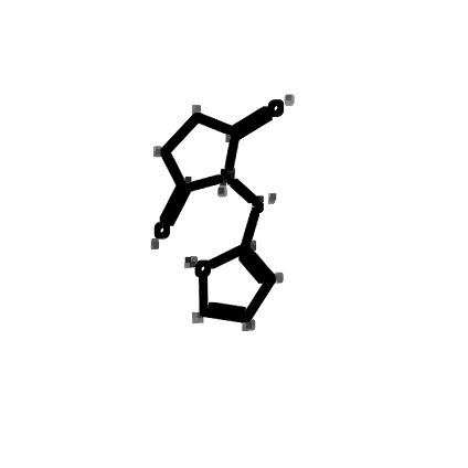 O=C1CCC(=O)N1Sc1ccco1